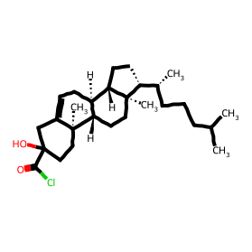 CC(C)CCC[C@@H](C)[C@H]1CC[C@H]2[C@@H]3CC=C4CC(O)(C(=O)Cl)CC[C@]4(C)[C@H]3CC[C@]12C